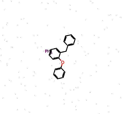 P.c1ccc(Cc2ccccc2Oc2ccccc2)cc1